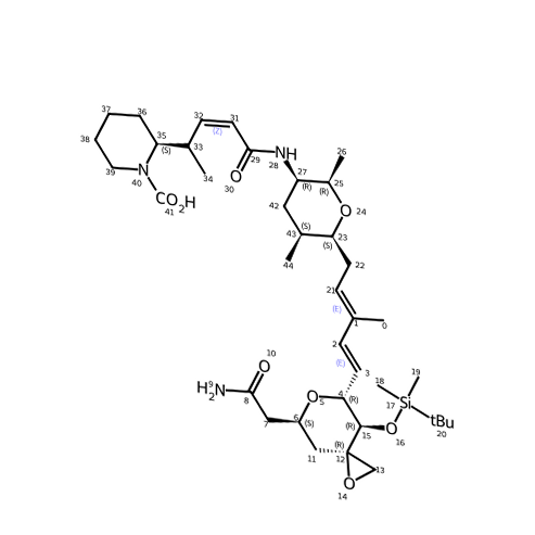 CC(/C=C/[C@H]1O[C@H](CC(N)=O)C[C@@]2(CO2)[C@@H]1O[Si](C)(C)C(C)(C)C)=C\C[C@@H]1O[C@H](C)[C@H](NC(=O)/C=C\C(C)[C@@H]2CCCCN2C(=O)O)C[C@@H]1C